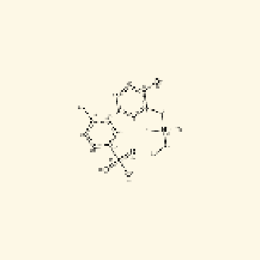 CC[N+](C)(C)Cc1ccccc1Br.Cc1ccc(S(=O)(=O)[O-])cc1